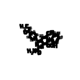 C=CC(=O)N1CCN(c2nc(C(N)=O)nc3c(=O)n(-c4c(O)cccc4F)c(C)cc23)CC1